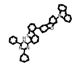 c1ccc(C2=NC(c3cccc4c3sc3cccc(-c5ccc6oc7cc(-n8c9ccccc9c9ccccc98)ccc7c6c5)c34)NC(c3ccccc3)=N2)cc1